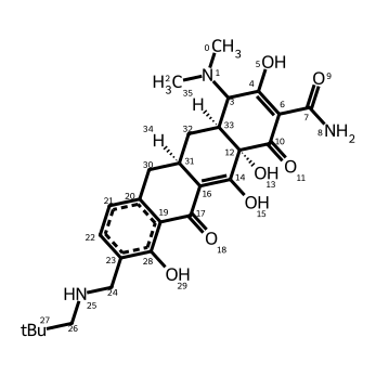 CN(C)C1C(O)=C(C(N)=O)C(=O)[C@@]2(O)C(O)=C3C(=O)c4c(ccc(CNCC(C)(C)C)c4O)C[C@H]3C[C@@H]12